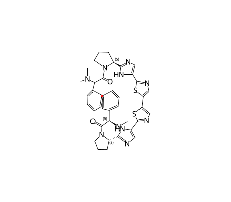 CN(C)C(C(=O)N1CCC[C@H]1c1ncc(-c2ncc(-c3cnc(-c4cnc([C@@H]5CCCN5C(=O)[C@@H](c5ccccc5)N(C)C)[nH]4)s3)s2)[nH]1)c1ccccc1